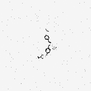 CC(C)Oc1ccc(-c2cnc(-c3ccc(CN4CC(C(=O)O)C4)cc3)s2)cc1.O=S(=O)(O)O